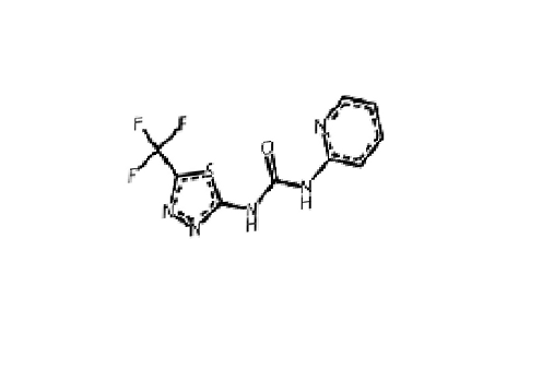 O=C(Nc1ccccn1)Nc1nnc(C(F)(F)F)s1